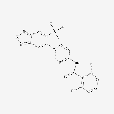 O=C(Nc1ccc(-c2cc3nsnc3cc2C(F)(F)F)cn1)c1c(F)cccc1F